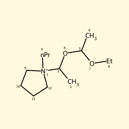 CCC[N+]1(C(C)OC(C)OCC)CCCC1